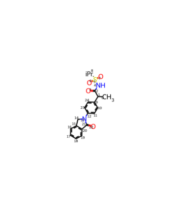 CC(C(=O)NS(=O)(=O)C(C)C)c1ccc(N2Cc3ccccc3C2=O)cc1